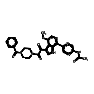 COc1cnc(-c2cnc(NC(C)=O)cn2)c2[nH]cc(C(=O)C(=O)N3CCN(C(=O)c4ccccc4)CC3)c12